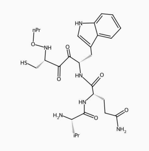 CCCON[C@@H](CS)C(=O)C(=O)[C@H](Cc1c[nH]c2ccccc12)NC(=O)[C@H](CCC(N)=O)NC(=O)[C@@H](N)C(C)C